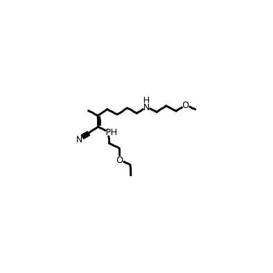 CCOCCP/C(C#N)=C(/C)CCCCNCCCOC